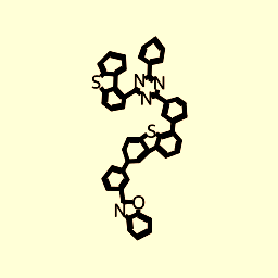 C1=c2sc3c(-c4cccc(-c5nc(-c6ccccc6)nc(-c6cccc7sc8ccccc8c67)n5)c4)cccc3c2=CC(c2cccc(-c3nc4ccccc4o3)c2)C1